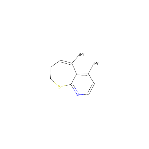 CC(C)C1=CCCSc2nccc(C(C)C)c21